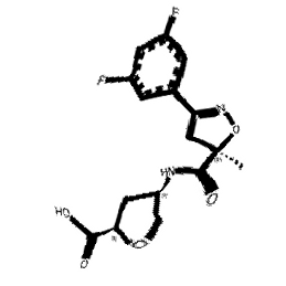 C[C@]1(C(=O)N[C@H]2CO[C@@H](C(=O)O)C2)CC(c2cc(F)cc(F)c2)=NO1